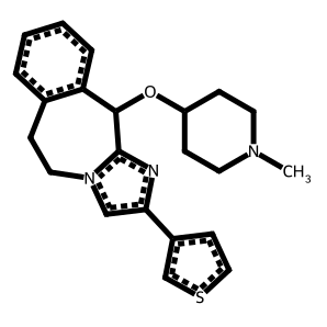 CN1CCC(OC2c3ccccc3CCn3cc(-c4ccsc4)nc32)CC1